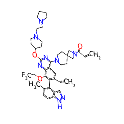 C=CC(=O)N1CC2(CCN(c3nc(OC4CCN(CCN5CCCC5)CC4)nc4c(OCC(F)(F)F)c(-c5c(C)ccc6[nH]ncc56)c(C=C)cc34)CC2)C1